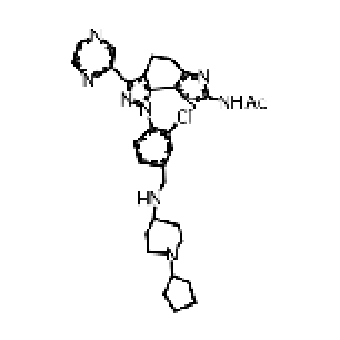 CC(=O)Nc1nc2c(s1)-c1c(c(-c3cnccn3)nn1-c1ccc(CNC3CCN(C4CCCC4)CC3)cc1Cl)CC2